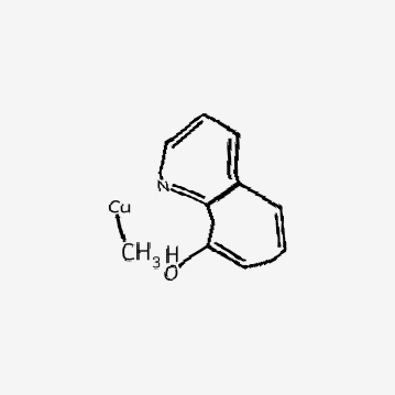 Oc1cccc2cccnc12.[CH3][Cu]